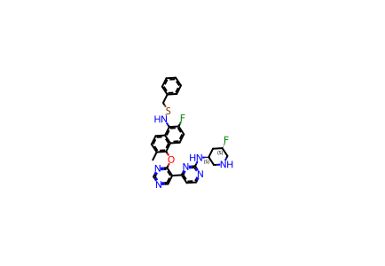 Cc1ccc2c(NSCc3ccccc3)c(F)ccc2c1Oc1ncncc1-c1ccnc(N[C@@H]2CNC[C@@H](F)C2)n1